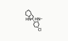 CNc1cc(Cl)ccc1-c1cc2ccccc2[nH]1